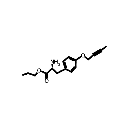 CC#CCOc1ccc(C[C@H](N)C(=O)OCCC)cc1